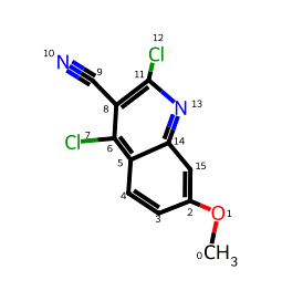 COc1ccc2c(Cl)c(C#N)c(Cl)nc2c1